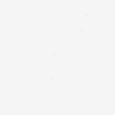 Cc1ccccc1S(=O)(=O)NC(=O)NC(Cc1ccccc1)C(=O)N(C)c1ccc(NC(=O)N(C)C)cc1